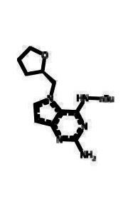 CCCCNc1nc(N)nc2ccn(C[C@H]3CCCO3)c12